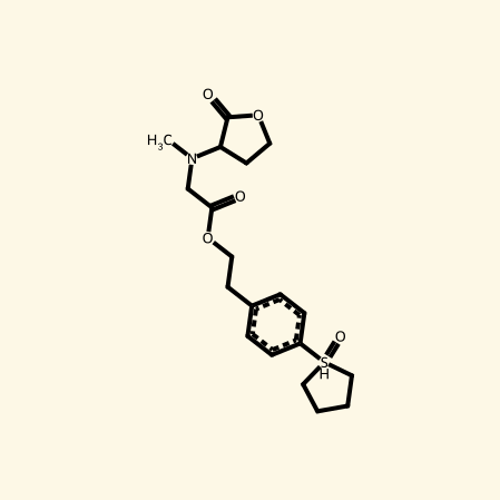 CN(CC(=O)OCCc1ccc([SH]2(=O)CCCC2)cc1)C1CCOC1=O